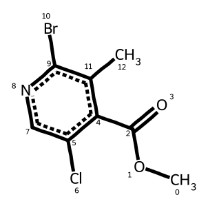 COC(=O)c1c(Cl)cnc(Br)c1C